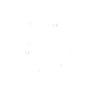 O=[C]C(P(=O)(O)O)P(=O)(O)O